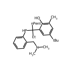 CCCCCC(CC)(Pc1ccccc1CN(C)C)c1cc(C(C)(C)C)cc(C)c1O